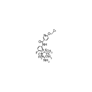 CC1(C)OC(N)=N[C@](C)(c2cc(NC(=O)c3ccc(OCC4CC4)nc3)ccc2F)C1(F)F